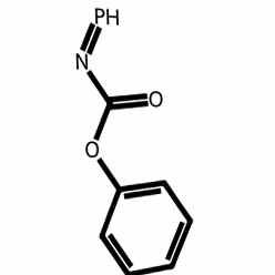 O=C(N=P)Oc1ccccc1